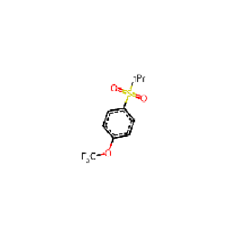 CCCS(=O)(=O)c1ccc(OC(F)(F)F)cc1